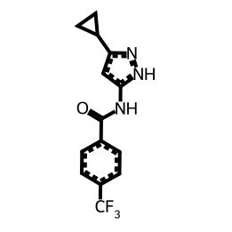 O=C(Nc1cc(C2CC2)n[nH]1)c1ccc(C(F)(F)F)cc1